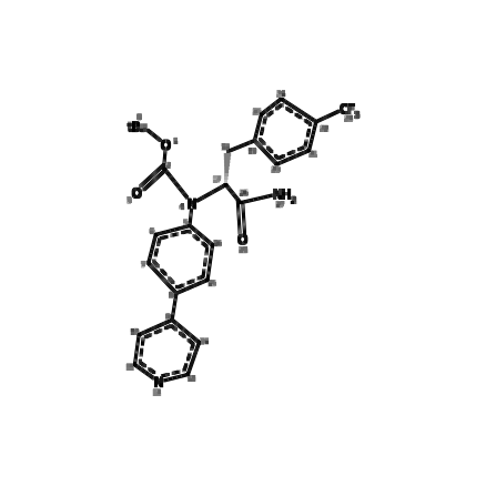 CC(C)(C)OC(=O)N(c1ccc(-c2ccncc2)cc1)[C@H](Cc1ccc(C(F)(F)F)cc1)C(N)=O